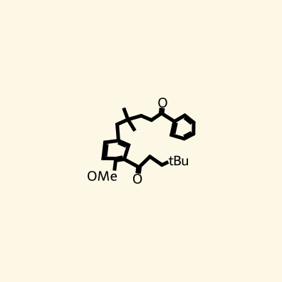 COc1ccc(CC(C)(C)CCC(=O)c2ccccc2)cc1C(=O)CCC(C)(C)C